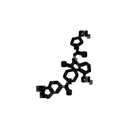 Cc1cccc2c1C1(CCN(C(=O)c3ccc4[nH]ncc4c3)CC1)C(=O)N2CC(=O)N1CCC(C)C1